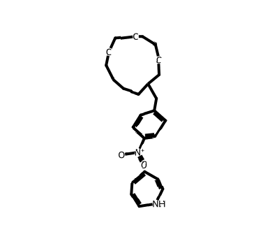 C1=CC=CNC=C1.O=[N+]([O-])c1ccc(CC2CCCCCCCCCCC2)cc1